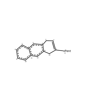 CCCCCC1=CCc2cc3ccccc3cc2C1